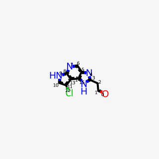 O=CCc1nc2cnc3[nH]cc(Cl)c3c2[nH]1